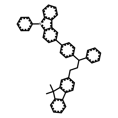 CC1(C)c2ccccc2-c2ccc(CCC(c3ccccc3)c3ccc(-c4ccc5c(c4)c4ccccc4n5-c4ccccc4)cc3)cc21